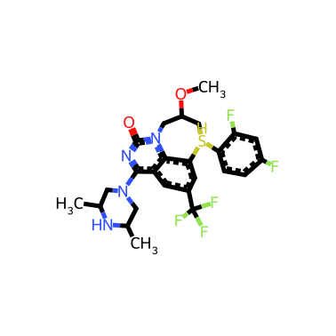 COC1Cn2c(=O)nc(N3CC(C)NC(C)C3)c3cc(C(F)(F)F)cc(c32)[SH](c2ccc(F)cc2F)C1